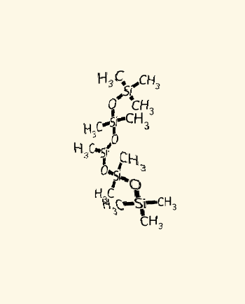 C[Si](O[Si](C)(C)O[Si](C)(C)C)O[Si](C)(C)O[Si](C)(C)C